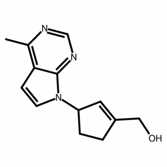 Cc1ncnc2c1ccn2C1C=C(CO)CC1